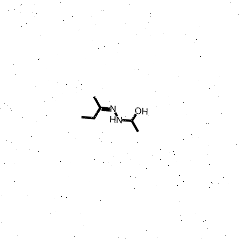 CC/C(C)=N\NC(C)O